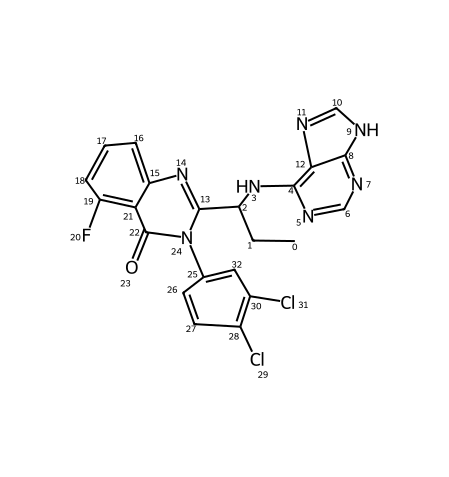 CCC(Nc1ncnc2[nH]cnc12)c1nc2cccc(F)c2c(=O)n1-c1ccc(Cl)c(Cl)c1